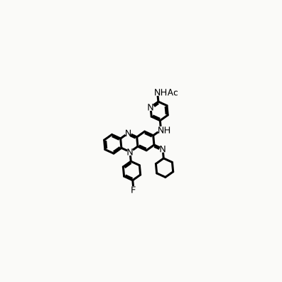 CC(=O)Nc1ccc(Nc2cc3nc4ccccc4n(C4=CC=C(F)CC4)c-3c/c2=N\C2CCCCC2)cn1